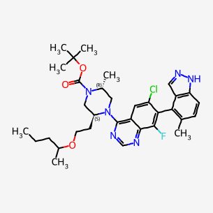 CCCC(C)OCC[C@H]1CN(C(=O)OC(C)(C)C)[C@H](C)CN1c1ncnc2c(F)c(-c3c(C)ccc4[nH]ncc34)c(Cl)cc12